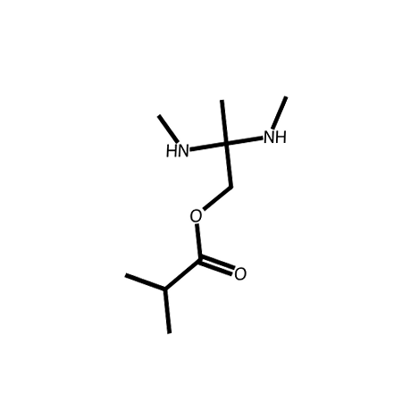 CNC(C)(COC(=O)C(C)C)NC